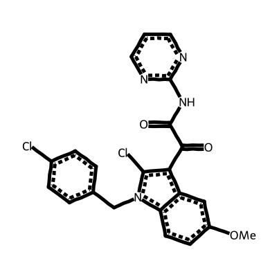 COc1ccc2c(c1)c(C(=O)C(=O)Nc1ncccn1)c(Cl)n2Cc1ccc(Cl)cc1